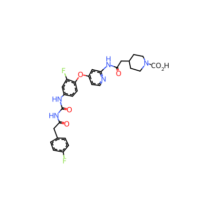 O=C(Cc1ccc(F)cc1)NC(=O)Nc1ccc(Oc2ccnc(NC(=O)CC3CCN(C(=O)O)CC3)c2)c(F)c1